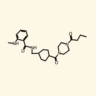 CCCC(=O)N1CCN(C(=O)C2CCC(CNC(=O)c3ccccc3NC)CC2)CC1